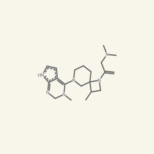 C=C(CN(C)C)N1CC(C)C12CCCN(C1=c3cc[nH]c3=NCN1C)C2